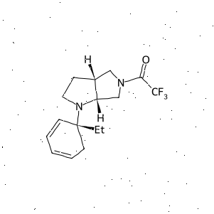 CC[C@]1(N2CC[C@@H]3CN(C(=O)C(F)(F)F)C[C@@H]32)C=CC=CC1